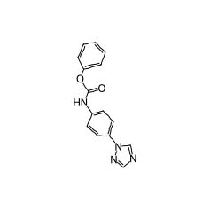 O=C(Nc1ccc(-n2cncn2)cc1)Oc1ccccc1